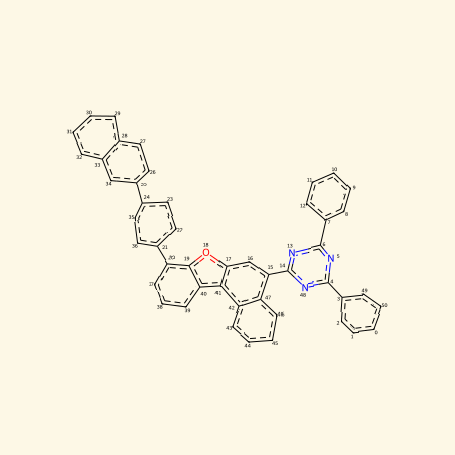 c1ccc(-c2nc(-c3ccccc3)nc(-c3cc4oc5c(-c6ccc(-c7ccc8ccccc8c7)cc6)cccc5c4c4ccccc34)n2)cc1